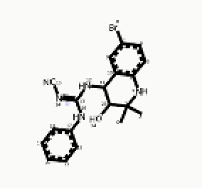 CC1(C)Nc2ccc(Br)cc2C(N/C(=N\C#N)Nc2ccccc2)C1O